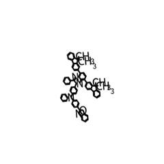 CC1(C)c2ccccc2-c2ccc(-c3ccc(-c4ccc5c(c4)C(C)(C)c4ccccc4-5)c4nc(-c5ccc(N(c6ccccc6)c6ccc(-c7nc8ccccc8o7)cc6)cc5)c(-c5ccccc5)nc34)cc21